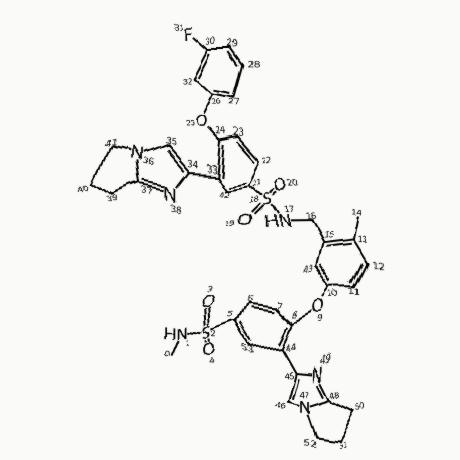 CNS(=O)(=O)c1ccc(Oc2ccc(C)c(CNS(=O)(=O)c3ccc(Oc4cccc(F)c4)c(-c4cn5c(n4)CCC5)c3)c2)c(-c2cn3c(n2)CCC3)c1